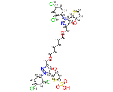 O=S(=O)(O)c1cc2oc3c(COCCCCCCOCc4nn(-c5ccc(Cl)cc5Cl)c5c4oc4ccsc45)nn(-c4ccc(Cl)cc4Cl)c3c2s1